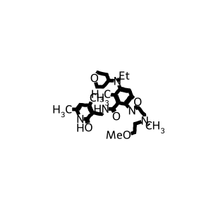 CCN(c1cc2oc(CN(C)CCOC)nc2c(C(=O)NCc2c(C)cc(C)[nH]c2=O)c1C)C1CCOCC1